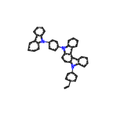 C=Cc1ccc(-n2c3ccccc3c3c4c5ccccc5n(-c5ccc(-n6c7ccccc7c7ccccc76)cc5)c4ccc32)cc1